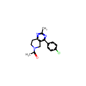 CC(=O)N1CCc2nc(C)nc(-c3ccc(Cl)cc3)c2C1